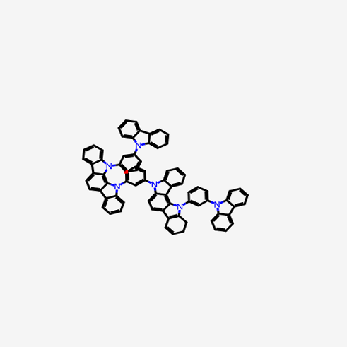 C1=Cc2c(n(-c3cccc(-n4c5ccccc5c5ccccc54)c3)c3c2ccc2c3c3ccccc3n2-c2cccc(-n3c4ccccc4c4ccc5c6ccccc6n(-c6cccc(-n7c8ccccc8c8ccccc87)c6)c5c43)c2)CC1